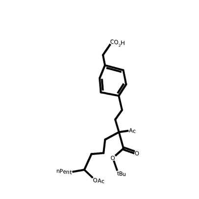 CCCCCC(CCCC(CCc1ccc(CC(=O)O)cc1)(C(C)=O)C(=O)OC(C)(C)C)OC(C)=O